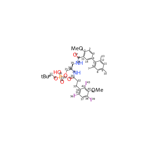 COc1ccc(-c2c(C)cc(C)cc2C)cc1C(=O)NC[C@H](COP(=O)(O)OCC(C)(C)C)NC(=O)CCc1c(I)cc(I)c(OC)c1I